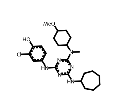 COC1CCC(N(C)c2nc(Nc3ccc(O)c(Cl)c3)nc(NC3CCCCCC3)n2)CC1